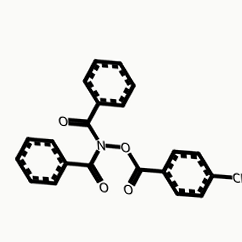 Cc1ccc(C(=O)ON(C(=O)c2ccccc2)C(=O)c2ccccc2)cc1